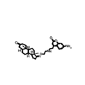 C[C@]12CCC(=O)C[C@@H]1CC[C@@H]1[C@@H]2CC[C@]2(C)/C(=N\OCCNCCc3cc(=O)oc4cc(N)ccc34)CC[C@@H]12